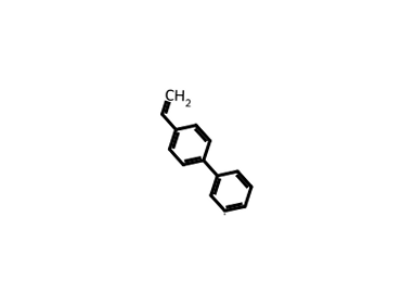 C=Cc1ccc(-c2c[c]ccc2)cc1